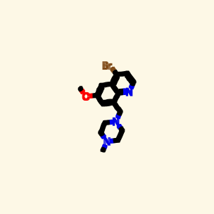 COc1cc(CN2CCN(C)CC2)c2nccc(Br)c2c1